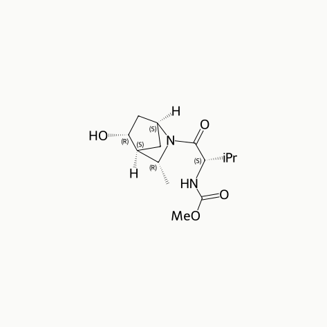 COC(=O)N[C@H](C(=O)N1[C@H]2C[C@H]([C@H](O)C2)[C@H]1C)C(C)C